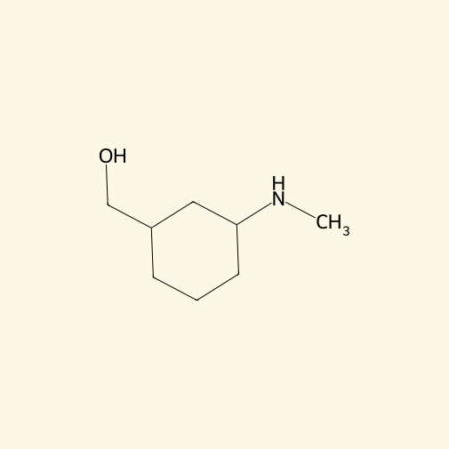 CNC1CCCC(CO)C1